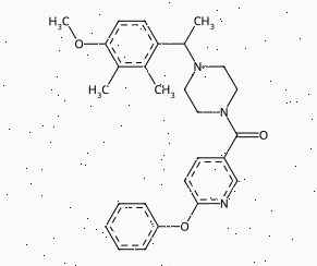 COc1ccc(C(C)N2CCN(C(=O)c3ccc(Oc4ccccc4)nc3)CC2)c(C)c1C